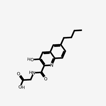 CCCCc1ccc2nc(C(=O)NCC(=O)O)c(O)cc2c1